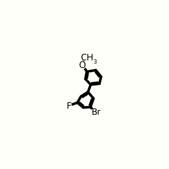 COc1cccc(-c2cc(F)cc(Br)c2)c1